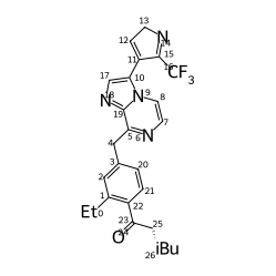 CCc1cc(Cc2nccn3c(C4=CCN=C4C(F)(F)F)cnc23)ccc1C(=O)C[C@@H](C)CC